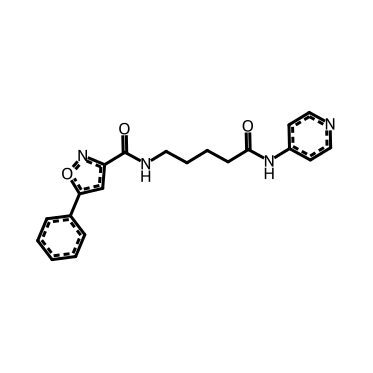 O=C(CCCCNC(=O)c1cc(-c2ccccc2)on1)Nc1ccncc1